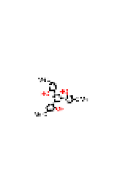 COc1ccc(-c2cc(-c3ccc(OC)cc3O)cc(-c3ccc(OC)cc3O)c2)c(O)c1